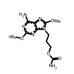 CCCCOc1nc(N)c2nc(OC)n(CCCOC(N)=O)c2n1